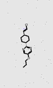 CCCOc1cnc([C@H]2CC[C@H](/C=C/Cl)CC2)nc1